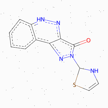 O=c1c2n[nH]c3ccccc3c-2nn1C1NC=CS1